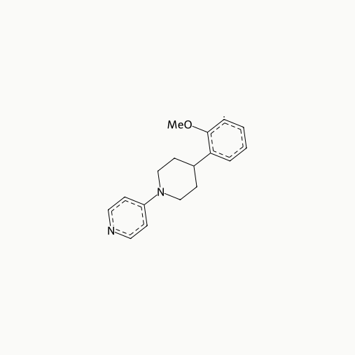 COc1[c]cccc1C1CCN(c2ccncc2)CC1